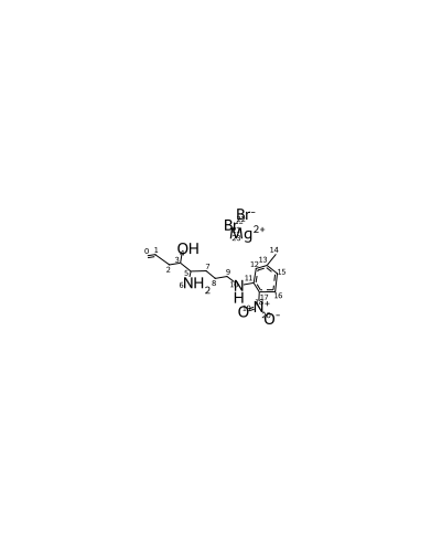 C=CCC(O)C(N)CCCNc1cc(C)ccc1[N+](=O)[O-].[Br-].[Br-].[Mg+2]